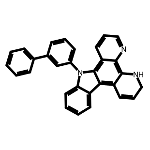 C1=Cc2c(c3ncccc3c3c2c2ccccc2n3-c2cccc(-c3ccccc3)c2)NC1